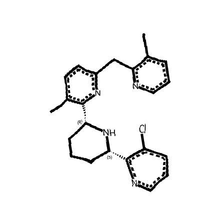 Cc1cccnc1Cc1ccc(C)c([C@H]2CCC[C@@H](c3ncccc3Cl)N2)n1